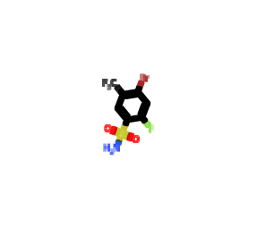 NS(=O)(=O)c1cc(C(F)(F)F)c(Br)cc1F